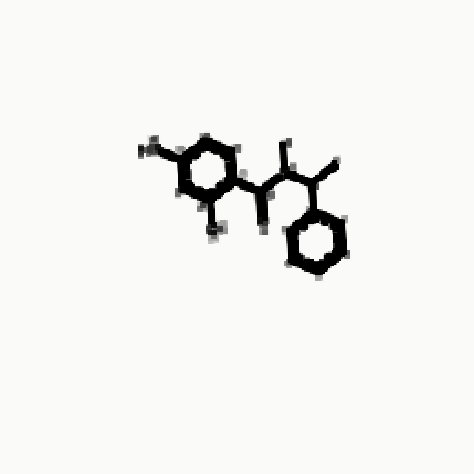 C[C@@H](c1ccccc1)N(C)C(=O)c1ccc(O)cc1O